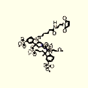 COCCN1/C(=C/C=C/C2=[N+](CCCCCC(=O)NCCN3C(=O)C=CC3=O)c3ccc(S(=O)(=O)OC)cc3C2(C)CCCS(=O)(=O)OC)C(C)(CCCS(=O)(=O)OC)c2cc(S(=O)(=O)OC)ccc21